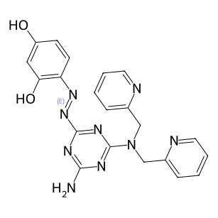 Nc1nc(/N=N/c2ccc(O)cc2O)nc(N(Cc2ccccn2)Cc2ccccn2)n1